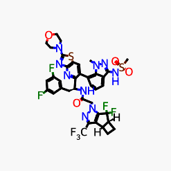 Cn1nc(NS(C)(=O)=O)c2cccc(-c3cc4sc(N5CCOCC5)nc4nc3[C@H](Cc3cc(F)cc(F)c3)NC(=O)Cn3nc(C(F)(F)F)c4c3C(F)(F)[C@@H]3CC[C@H]43)c21